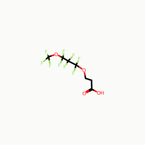 O=C(O)CCOC(F)(F)C(F)(F)C(F)(F)OC(F)(F)F